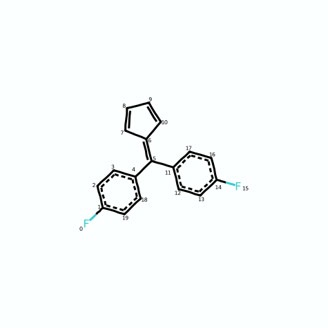 Fc1ccc(C(=C2C=CC=C2)c2ccc(F)cc2)cc1